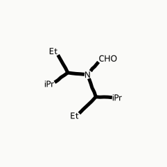 CCC(C(C)C)N(C=O)C(CC)C(C)C